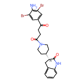 Nc1c(Br)cc(C(=O)CCC(=O)N2CCC([C@H]3Cc4ccccc4NC3=O)CC2)cc1Br